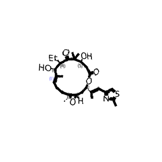 CC[C@H]1C(=O)C(C)(C)[C@@H](O)CC(=O)O[C@H](C(C)=Cc2csc(C)n2)C[C@@H]2O[C@@]2(C)CC/C=C(\C)[C@@H]1O